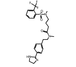 CN(CCc1ccc(C2=NCCN2)cc1)C(=O)CCCN(C)S(=O)(=O)c1ccccc1C(F)(F)F